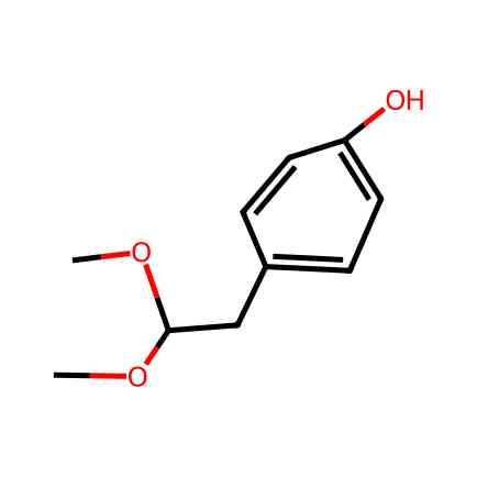 COC(Cc1ccc(O)cc1)OC